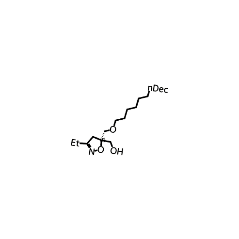 CCCCCCCCCCCCCCCCOC[C@@]1(CO)CC(CC)=NO1